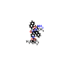 CC(C(N)=S)N(C(=O)[C@@H](Cc1ccc2ccccc2c1)N(C)C(=O)C1CCN(C(=O)OC(C)(C)C)CC1)c1ccc2ccccc2c1